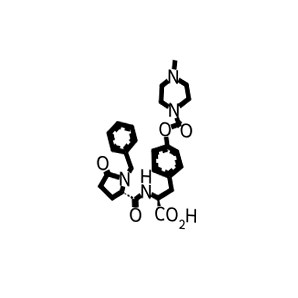 CN1CCN(C(=O)Oc2ccc(C[C@H](NC(=O)[C@@H]3CCC(=O)N3Cc3ccccc3)C(=O)O)cc2)CC1